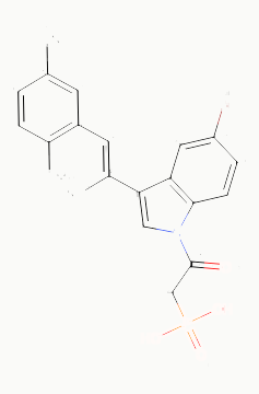 COc1ccc(C#N)cc1C=C(C#N)c1cn(C(=O)CP(=O)(O)O)c2ccc(Br)cc12